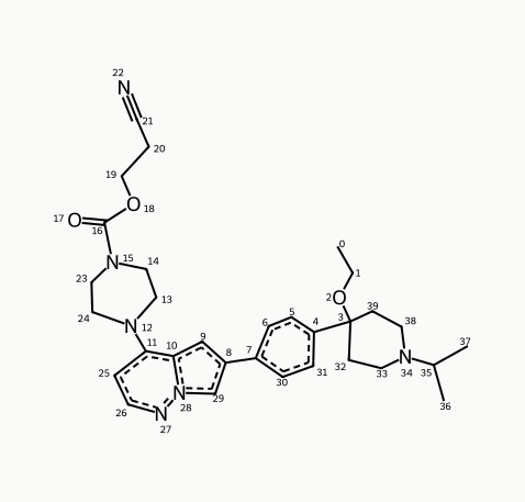 CCOC1(c2ccc(-c3cc4c(N5CCN(C(=O)OCCC#N)CC5)ccnn4c3)cc2)CCN(C(C)C)CC1